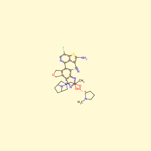 CC(O)CN1CC2CCC(C1)N2c1nc(OC[C@@H]2CCCN2C)nc2c(F)c(-c3ncc(F)c4sc(N)c(C#N)c34)c3c(c12)COC3